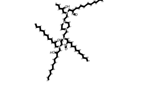 CCCCCCCCCCC(O)CN(CCN(CCN1CCN(CCN(CC(O)CCC)CC(CCCCCCCCCC)N=O)CC1)CC(CCCCCCCCCC)N=O)CC(O)CCCCCCCCC